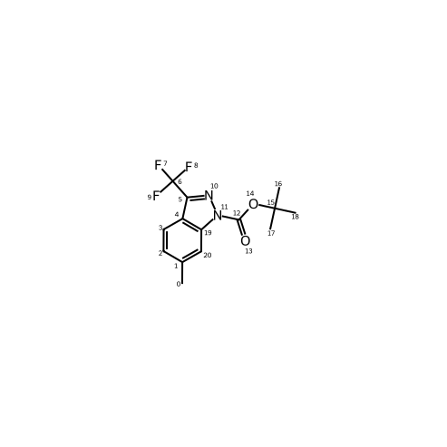 Cc1ccc2c(C(F)(F)F)nn(C(=O)OC(C)(C)C)c2c1